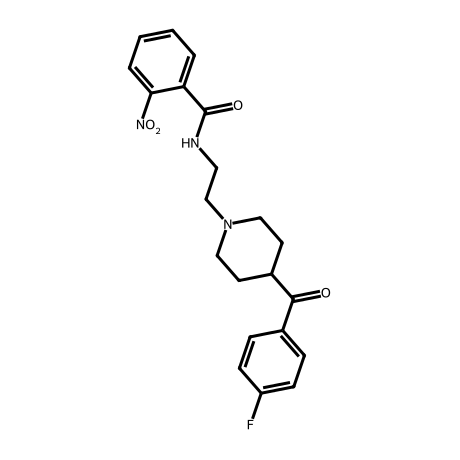 O=C(NCCN1CCC(C(=O)c2ccc(F)cc2)CC1)c1ccccc1[N+](=O)[O-]